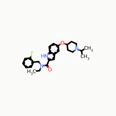 CCN(Cc1ccccc1F)C(=O)c1cc2cc(OC3CCN(C(C)C)CC3)ccc2[nH]1